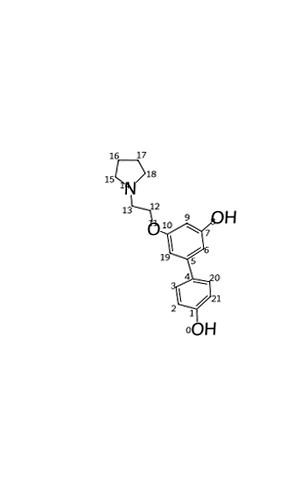 Oc1ccc(-c2cc(O)cc(OCCN3CCCC3)c2)cc1